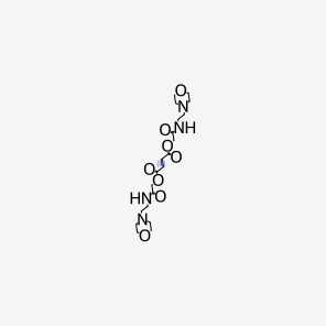 O=C(COC(=O)/C=C/C(=O)OCC(=O)NCCN1CCOCC1)NCCN1CCOCC1